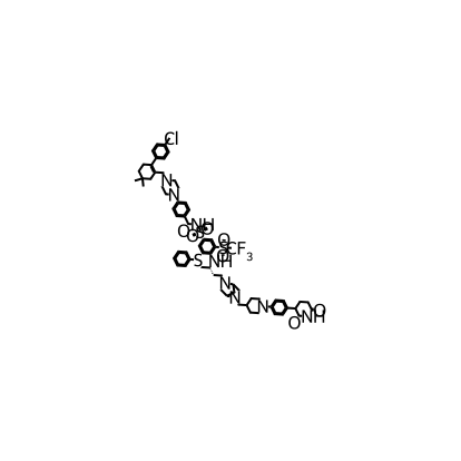 CC1(C)CCC(c2ccc(Cl)cc2)=C(CN2CCN(c3ccc(C(=O)NS(=O)(=O)c4ccc(N[C@H](CCN5CC6CC5CN6CC5CCN(c6ccc(C7CCC(=O)NC7=O)cc6)CC5)CSc5ccccc5)c(S(=O)(=O)C(F)(F)F)c4)cc3)CC2)C1